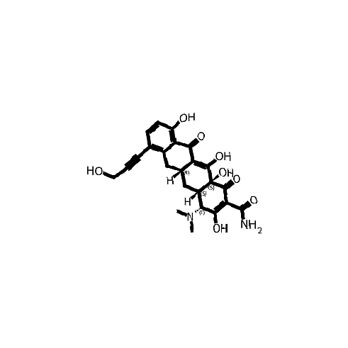 CN(C)[C@H]1C(O)=C(C(N)=O)C(=O)[C@@]2(O)C(O)=C3C(=O)c4c(O)ccc(C#CCO)c4C[C@H]3C[C@@H]12